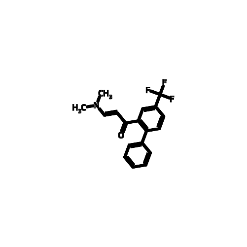 CN(C)C=CC(=O)c1cc(C(F)(F)F)ccc1-c1ccccc1